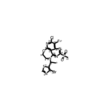 CC(c1scnc1Br)N1CCOc2nc(Cl)c(F)c3nc(S(C)(=O)=O)nc1c23